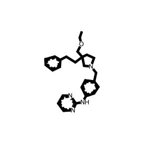 CCOCC1(CCc2ccccc2)CCN(Cc2ccc(Nc3ncccn3)cc2)C1